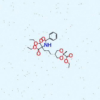 CCOC(=O)C(CCC[C@H]1CO[C@@](C)(C(=O)OCC)OC1)(NC(=O)c1ccccc1)C(=O)OCC